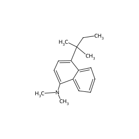 CCC(C)(C)c1ccc(N(C)C)c2ccccc12